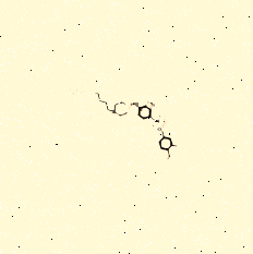 CC(C)(C)N.COCCCCC1(C(=O)O)CCN(Cc2ccc(-c3noc(-c4ccc(CC(C)C)c(Cl)c4)n3)cc2)CC1